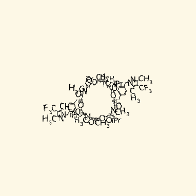 Cc1nn(Cc2ccc(C[C@H]3OC(=O)[C@H](CC(C)C)N(C)C(=O)[C@@H](C)OC(=O)[C@H](CC(C)C)N(C)C(=O)[C@@H](Cc4ccc(Cn5nc(C)c(C(F)(F)F)c5C)cc4)OC(=O)[C@H](CC(C)C)N(C)C(=O)[C@@H](C)OC(=O)[C@H](CC(C)C)N(C)C3=O)cc2)c(C)c1C(F)(F)F